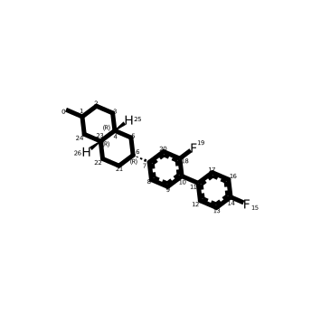 CC1CC[C@@H]2C[C@H](c3ccc(-c4ccc(F)cc4)c(F)c3)CC[C@@H]2C1